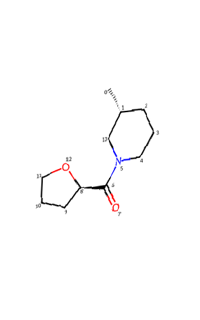 C[C@@H]1CCCN(C(=O)[C@H]2CCCO2)C1